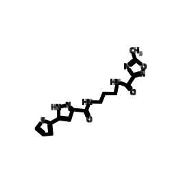 Cc1nc(C(=O)NCCCNC(=O)c2cc(-c3cccs3)[nH]n2)no1